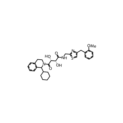 COc1ccccc1Cc1csc(CNC(=O)[C@H](O)[C@@H](O)C(=O)N2CCc3ccccc3C2C2CCCCC2)n1